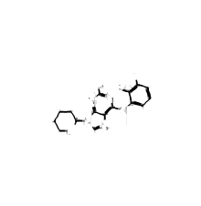 Fc1cccc(Nc2nc(Cl)nc3c2ncn3C2CCCCO2)c1F